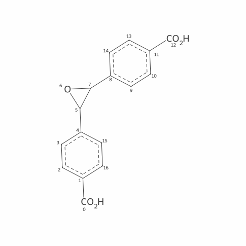 O=C(O)c1ccc(C2OC2c2ccc(C(=O)O)cc2)cc1